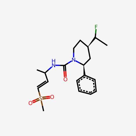 CC(/C=C/S(C)(=O)=O)NC(=O)N1CC[C@@H](C(C)F)C[C@H]1c1ccccc1